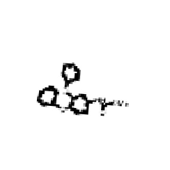 [CH2]OC(=O)Nc1ccc(Oc2ccccc2)c(Oc2ccccc2)c1